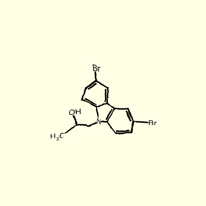 CC(O)Cn1c2ccc(Br)cc2c2cc(Br)ccc21